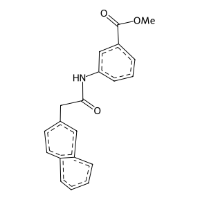 COC(=O)c1cccc(NC(=O)Cc2ccc3ccccc3c2)c1